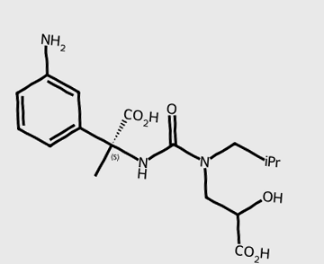 CC(C)CN(CC(O)C(=O)O)C(=O)N[C@](C)(C(=O)O)c1cccc(N)c1